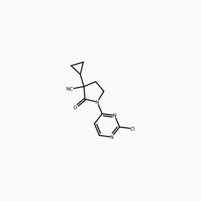 N#CC1(C2CC2)CCN(c2ccnc(Cl)n2)C1=O